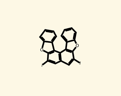 Ic1cc2cc(I)c3oc4ccccc4c3c2c2c1oc1ccccc12